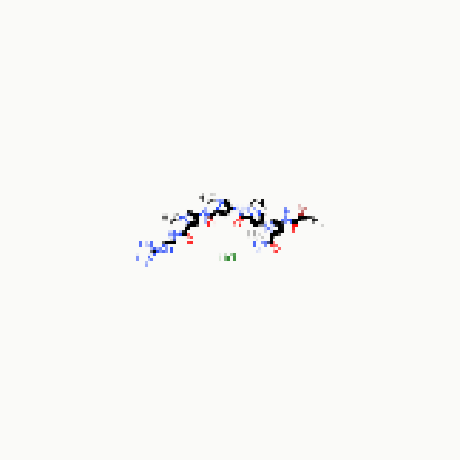 C=C(Br)C(=O)NC1=C[N+](C)(c2cc(C(=O)Nc3cc(C(=O)Nc4cc(C(=O)NCCNC(=N)N)n(C)c4)n(C)c3)n(C)c2)C(C(N)=O)=C1.Cl